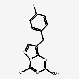 CSc1nc(Cl)n2ncc(Cc3ccc(F)cc3)c2n1